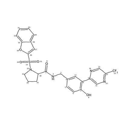 O=C(NCc1ccc(O)c(-c2cnc(C(F)(F)F)cn2)c1)C1CCCN1S(=O)(=O)c1cc2ccccc2o1